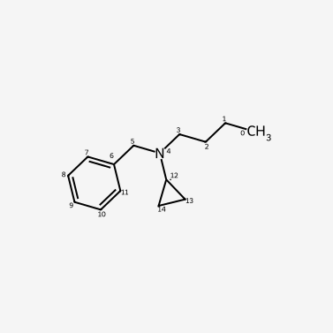 CCCCN(Cc1ccccc1)[C]1CC1